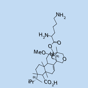 COC1CC23COCC(C)(C1OC(=O)C(N)CCCCN)[C@@H]2CCC1C3=CCC2(C)C(C(=O)O)C(C)([C@H](C)C(C)C)CCC12C